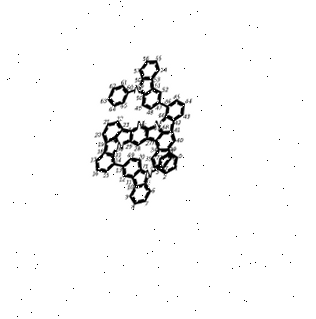 c1ccc(-n2c3ccccc3c3cc(-c4cccc5c6cccc7c8nc9c(cc8n(c45)c67)c4c5ccccc5cc5c6cccc(-c7ccc8c(c7)c7ccccc7n8-c7ccccc7)c6n9c54)ccc32)cc1